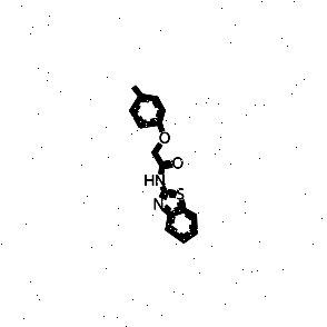 Cc1ccc(OCC(=O)Nc2nc3ccccc3s2)cc1